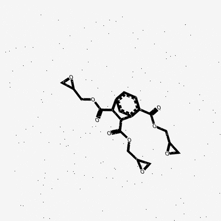 O=C(OCC1CO1)c1ccc2cc1C(C(=O)OCC1CO1)C2C(=O)OCC1CO1